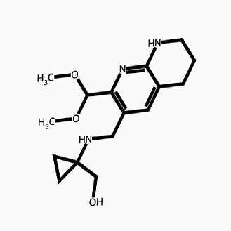 COC(OC)c1nc2c(cc1CNC1(CO)CC1)CCCN2